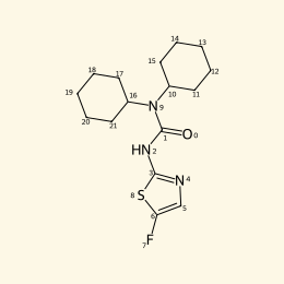 O=C(Nc1ncc(F)s1)N(C1CCCCC1)C1CCCCC1